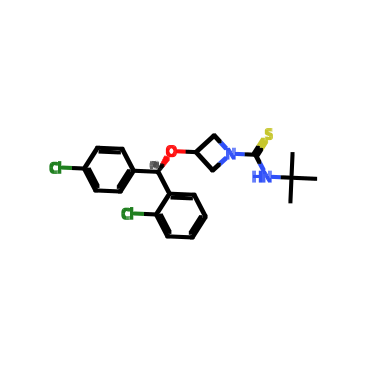 CC(C)(C)NC(=S)N1CC(O[C@H](c2ccc(Cl)cc2)c2ccccc2Cl)C1